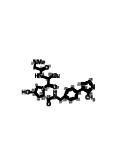 CNCC(=O)NC(C(=O)N1C[C@H](O)C[C@H]1C(=O)NCc1ccc(-c2scnc2C)cc1)C(C)(C)C